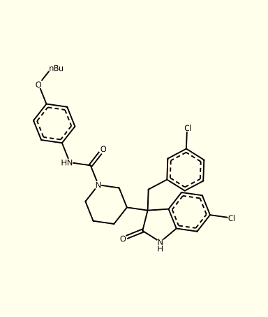 CCCCOc1ccc(NC(=O)N2CCCC(C3(Cc4cccc(Cl)c4)C(=O)Nc4cc(Cl)ccc43)C2)cc1